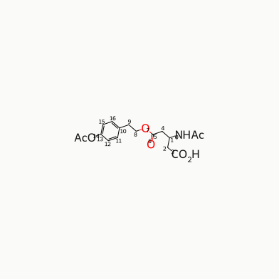 CC(=O)NC(CC(=O)O)CC(=O)OCCc1ccc(OC(C)=O)cc1